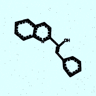 OC(=Cc1ccccc1)c1ccc2ccccc2n1